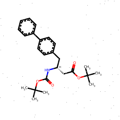 CC(C)(C)OC(=O)C[C@@H](Cc1ccc(-c2ccccc2)cc1)NC(=O)OC(C)(C)C